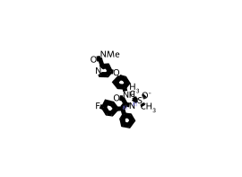 CNC(=O)c1cc(Oc2ccc(NC(=O)C(/N=C(\C)[S+](C)[O-])=C(/c3ccccc3)c3ccc(F)cc3)cc2)ccn1